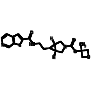 CC1(OC(=O)N2C[C@@H]3[C@@H](CCNC(=O)c4cc5ccncc5s4)[C@@H]3C2)COC1